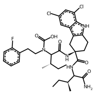 CC[C@H](C)C(NC(=O)[C@@]1(NC(=O)C([C@@H](C)CC)N(CCc2ccccc2F)C(=O)O)CCc2[nH]c3c(Cl)cc(Cl)cc3c2C1)C(N)=O